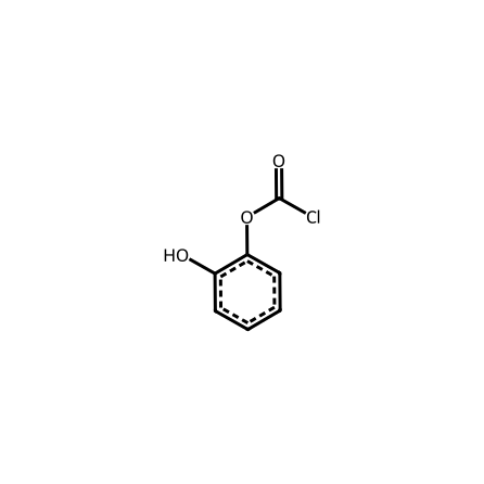 O=C(Cl)Oc1ccccc1O